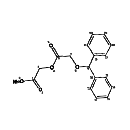 COC(=O)COC(=O)COC(c1ccccc1)c1ccccc1